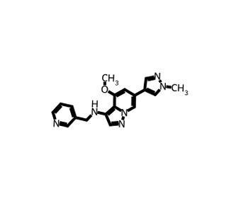 COc1cc(-c2cnn(C)c2)cn2ncc(NCc3cccnc3)c12